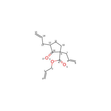 C=CCOC(=O)C1(CC=C)CCC(CC=C)C1=O